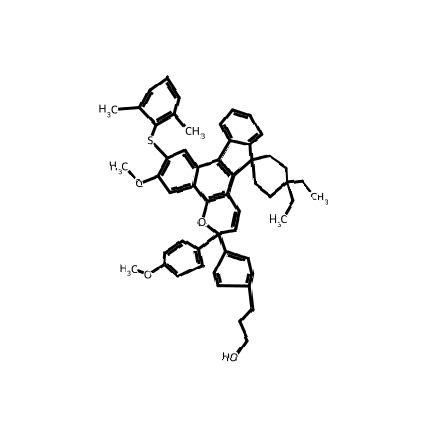 CCC1(CC)CCC2(CC1)c1ccccc1-c1c2c2c(c3cc(OC)c(Sc4c(C)cccc4C)cc13)OC(c1ccc(CCCO)cc1)(c1ccc(OC)cc1)C=C2